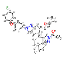 C[C@H]1CC[C@H]2[C@H](CNC(=O)C(F)(F)F)[C@@H]([C@@]3(C)Cc4cn(-c5ccc(Oc6ccc(F)cc6)cc5)nc4C[C@@H]3CO[Si](C)(C)C(C)(C)C)CC[C@]12C